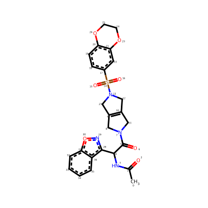 CC(=O)NC(C(=O)N1CC2=C(C1)CN(S(=O)(=O)c1ccc3c(c1)OCCO3)C2)c1noc2ccccc12